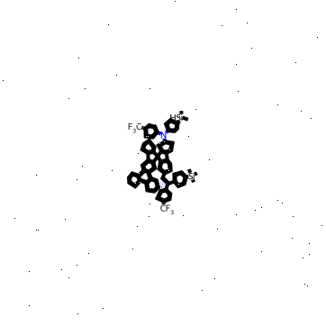 C[SiH](C)c1ccc(N(c2ccc(C(F)(F)F)cc2)c2ccc3c(c2)C2(c4ccccc4-c4cc5c6ccccc6c6ccccc6c5cc42)c2cc(/C=C(/c4ccc(C(F)(F)F)cc4)c4ccc([Si](C)(C)C)cc4)ccc2-3)cc1